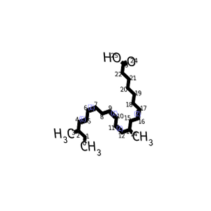 CCC(C)/C=C/C=C\C/C=C\C=C/C(C)C/C=C\CCCCCC(=O)O